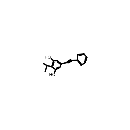 CC(C)c1c(O)cc(C#Cc2ccccc2)cc1O